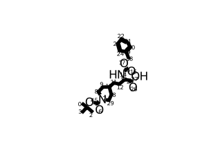 CC(C)(C)OC(=O)N1CCC(CCC(NC(=O)OCc2ccccc2)C(=O)O)CC1